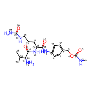 CNC(=O)OCc1ccc(NC(=O)[C@H](CCCNC(N)=O)NC(=O)[C@@H](N)C(C)C)cc1